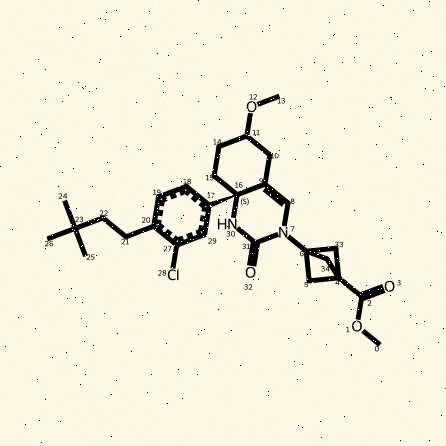 COC(=O)C12CC(N3C=C4CC(OC)CC[C@@]4(c4ccc(CCC(C)(C)C)c(Cl)c4)NC3=O)(C1)C2